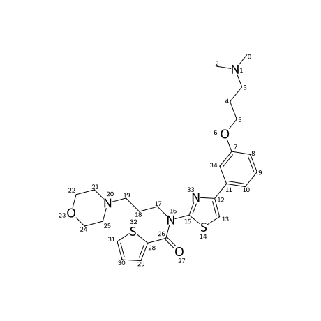 CN(C)CCCOc1cccc(-c2csc(N(CCCN3CCOCC3)C(=O)c3cccs3)n2)c1